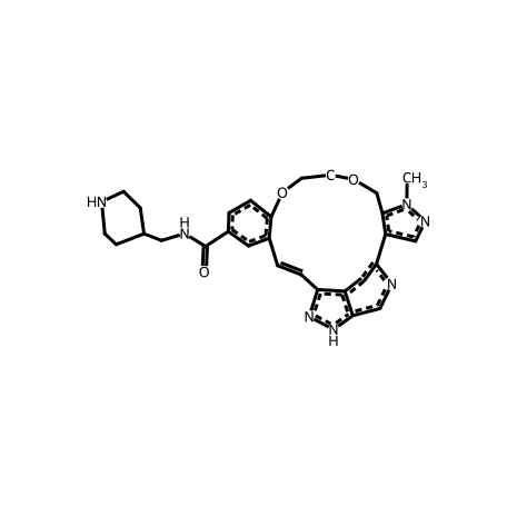 Cn1ncc2c1COCCOc1ccc(C(=O)NCC3CCNCC3)cc1/C=C/c1n[nH]c3cnc-2cc13